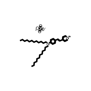 CCCCCCCCCCCCN(CCCCCCCCCCCC)c1ccc(C=Cc2cc[n+](C)cc2)cc1.COS(=O)(=O)[O-]